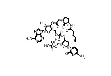 C=CCCC(=O)N[C@H]1CCN(CC(=O)OC2[C@@H](COP(=O)(O)OC3C[C@H](n4ccc(N)nc4=O)O[C@@H]3COP(=O)(O)O)O[C@@H](n3cnc4c(N)ncnc43)[C@H]2O)C1=O